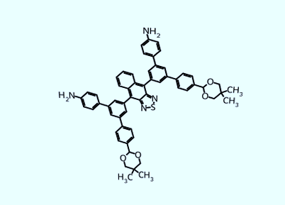 CC1(C)COC(c2ccc(-c3cc(-c4ccc(N)cc4)cc(-c4c5ccccc5c(-c5cc(-c6ccc(N)cc6)cc(-c6ccc(C7OCC(C)(C)CO7)cc6)c5)c5nsnc45)c3)cc2)OC1